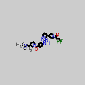 CN(C)CCC1CCCN(C(=O)c2ccc(Nc3nc4c(C5=CCN(C(=O)CCC(F)(F)F)CC5)cccn4n3)cc2)C1